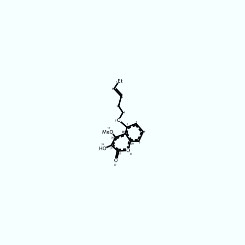 CCC=CCCOc1cccc2oc(=O)c(O)c(OC)c12